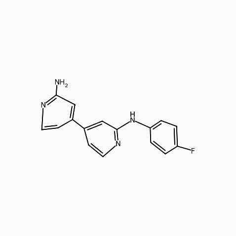 Nc1cc(-c2ccnc(Nc3ccc(F)cc3)c2)ccn1